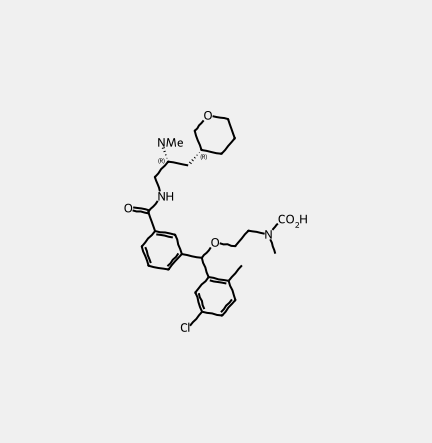 CN[C@@H](CNC(=O)c1cccc(C(OCCN(C)C(=O)O)c2cc(Cl)ccc2C)c1)C[C@H]1CCCOC1